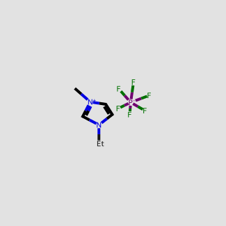 CCn1cc[n+](C)c1.F[P-](F)(F)(F)(F)F